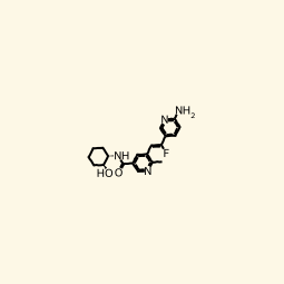 Cc1ncc(C(=O)N[C@H]2CCCC[C@@H]2O)cc1/C=C(\F)c1ccc(N)nc1